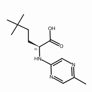 Cc1cnc(N[C@@H](CCC(C)(C)C)C(=O)O)cn1